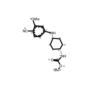 COc1cc(N[C@H]2CC[C@@H](NC(=O)OC(C)(C)C)CC2)ccc1C#N